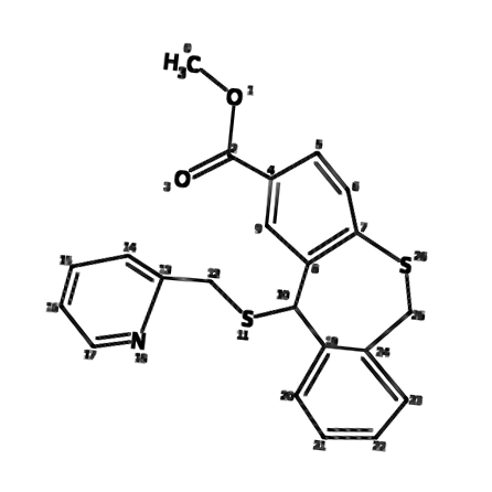 COC(=O)c1ccc2c(c1)C(SCc1ccccn1)c1ccccc1CS2